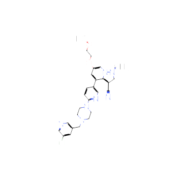 COCCOC1=CN2C(=C(C#N)CN2C)C(c2ccc(N3CCN(Cc4cncc(Cl)c4)CC3)nc2)=C1